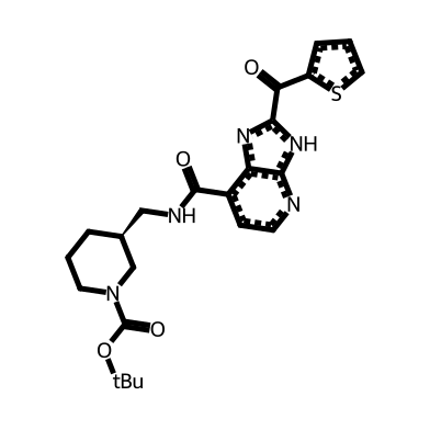 CC(C)(C)OC(=O)N1CCC[C@@H](CNC(=O)c2ccnc3[nH]c(C(=O)c4cccs4)nc23)C1